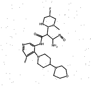 CN1CC(F)CNC1C(C(=O)Nc1cncc(F)c1N1CCC(N2CCOCC2)CC1)C(N)N=O